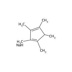 CC1=C(C)C(C)C(C)=C1C.[NaH]